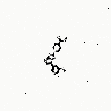 COC(=O)C1CCN(c2nn3c(-c4cncc(OC)c4)cnc3s2)CC1